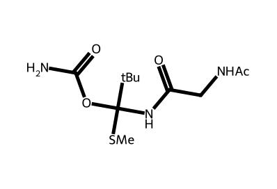 CSC(NC(=O)CNC(C)=O)(OC(N)=O)C(C)(C)C